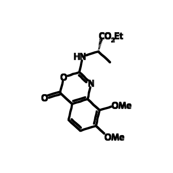 CCOC(=O)[C@H](C)Nc1nc2c(OC)c(OC)ccc2c(=O)o1